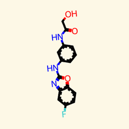 O=C(CO)Nc1cccc(Nc2nc3cc(F)ccc3o2)c1